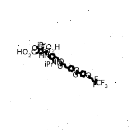 CC(C)Nc1cc(NC(=O)C2CC(CC(=O)O)C(C(=O)C(C)C)C2C(=O)O)ccc1CCOC(=O)/C=C/c1ccc(OC(=O)c2ccc(OCCCC(F)(F)C(F)(F)F)cc2)cc1